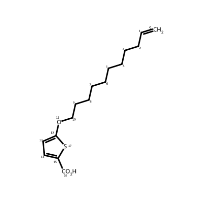 C=CCCCCCCCCCOc1ccc(C(=O)O)s1